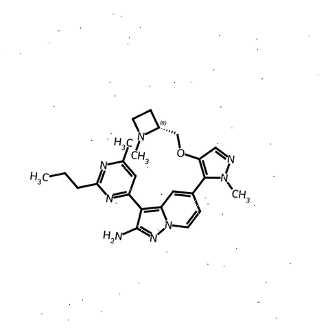 CCCc1nc(C)cc(-c2c(N)nn3ccc(-c4c(OC[C@H]5CCN5C)cnn4C)cc23)n1